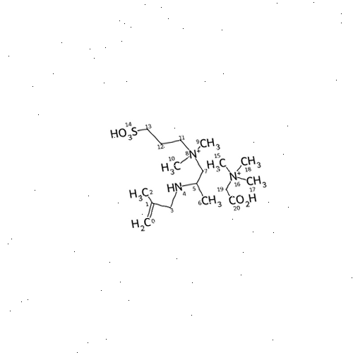 C=C(C)CNC(C)C[N+](C)(C)CCCS(=O)(=O)O.C[N+](C)(C)CC(=O)O